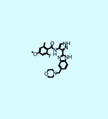 COc1cc(C)c(C(=O)Nc2c[nH]nc2-c2nc3cc(CN4CCOCC4)ccc3[nH]2)c(F)c1